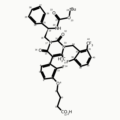 Cc1c(-c2cccc(OCCCC(=O)O)c2F)c(=O)n(C[C@H](NC(=O)OC(C)(C)C)c2ccccc2)c(=O)n1Cc1c(F)cccc1C(F)(F)F